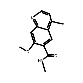 CNC(=O)c1cc2c(C)ccnc2cc1OC